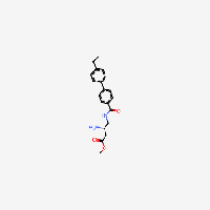 CCc1ccc(-c2ccc(C(=O)NCC(N)CC(=O)OC)cc2)cc1